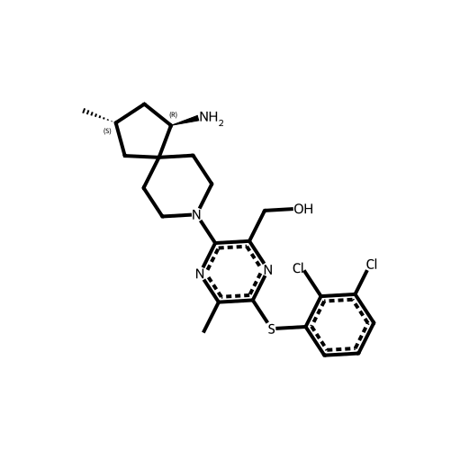 Cc1nc(N2CCC3(CC2)C[C@H](C)C[C@H]3N)c(CO)nc1Sc1cccc(Cl)c1Cl